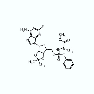 COC(=O)[C@H](C)NP(=O)(OCC1OC(n2cnc3c(N)nc(F)nc32)C2OC(C)(C)OC12)Oc1ccccc1